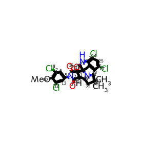 [2H]C12C(=O)N(c3cc(Cl)c(OC)c(Cl)c3)C(=O)C1([2H])C1(C(=O)Nc3c(Cl)cc(Cl)cc31)N1CC(C)(C)CC12